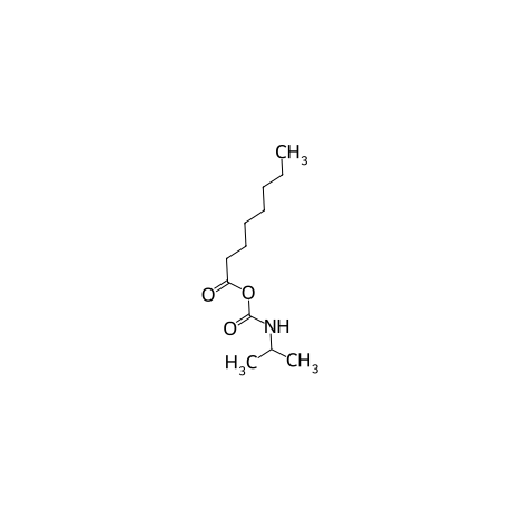 CCCCCCCC(=O)OC(=O)NC(C)C